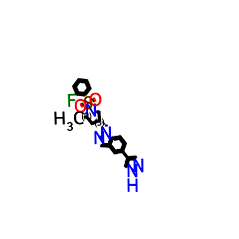 C[C@@H]1C[C@@H](Cn2ncc3cc(-c4cn[nH]c4)ccc32)CN1S(=O)(=O)c1ccccc1F